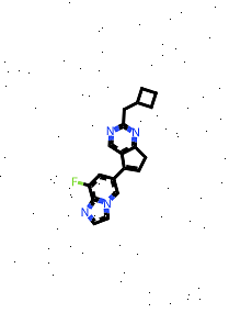 Fc1cc(C2=CCc3nc(CC4CCC4)ncc32)cn2ccnc12